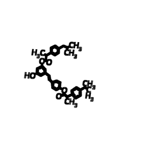 CC(C)Cc1ccc(C(C)C(=O)Oc2cc(O)cc(/C=C/c3ccc(OC(=O)C(C)c4ccc(C(C)C)cc4)cc3)c2)cc1